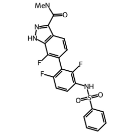 CNC(=O)c1n[nH]c2c(F)c(-c3c(F)ccc(NS(=O)(=O)c4ccccc4)c3F)ccc12